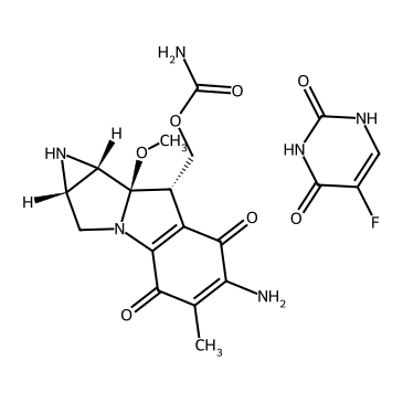 CO[C@@]12[C@H](COC(N)=O)C3=C(C(=O)C(C)=C(N)C3=O)N1C[C@@H]1N[C@@H]12.O=c1[nH]cc(F)c(=O)[nH]1